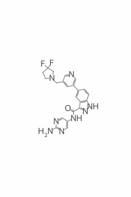 Nc1ncc(NC(=O)c2n[nH]c3ccc(-c4cncc(CN5CCC(F)(F)C5)c4)cc23)cn1